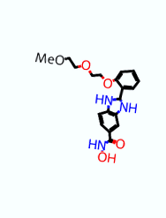 COCCOCCOc1ccccc1C1Nc2ccc(C(=O)NO)cc2N1